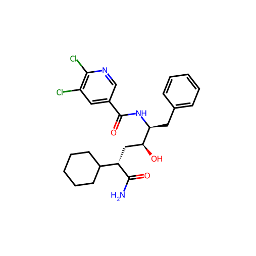 NC(=O)[C@@H](C[C@H](O)[C@H](Cc1ccccc1)NC(=O)c1cnc(Cl)c(Cl)c1)C1CCCCC1